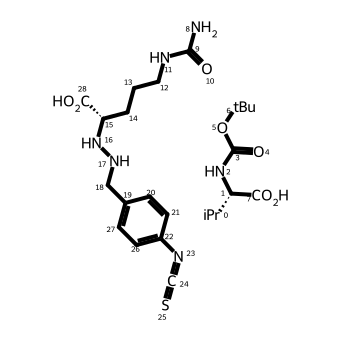 CC(C)[C@H](NC(=O)OC(C)(C)C)C(=O)O.NC(=O)NCCC[C@H](NNCc1ccc(N=C=S)cc1)C(=O)O